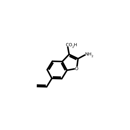 C=Cc1ccc2c(C(=O)O)c(N)oc2c1